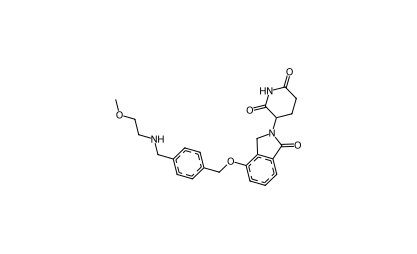 COCCNCc1ccc(COc2cccc3c2CN(C2CCC(=O)NC2=O)C3=O)cc1